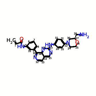 C=CC(=O)Nc1cccc(-c2nccc3cnc(Nc4ccc(N5CCO[C@H](CN)C5)cc4)nc23)c1